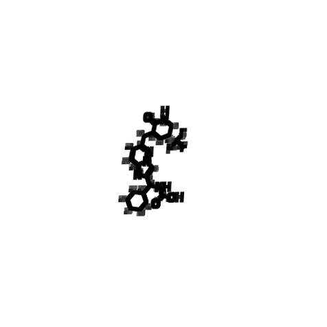 O=C(O)N[C@H](c1cn2nc(CC3C[C@@H](C(F)(F)F)CNC3=O)ccc2n1)C1CCCCC1